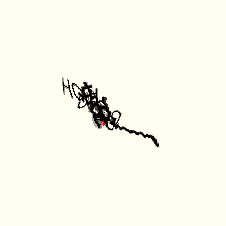 CCCCCCCCCCCC(=O)O[C@H]1CC[C@]2(C)[C@H]3CC=C4[C@@H]5CC(C)(C)CC[C@]5(C(=O)O)CC[C@@]4(C)[C@]3(C)CC[C@H]2C1(C)C